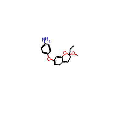 CCC1(OC)CC=C2CC=C(Oc3ccc(N)cc3)C=C2O1